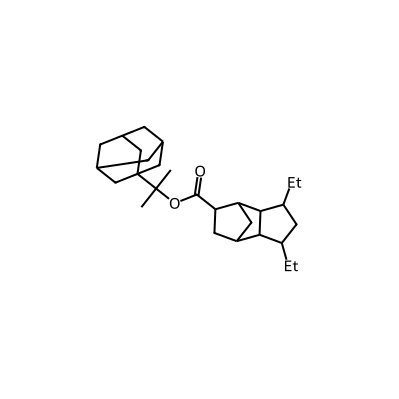 CCC1CC(CC)C2C3CC(CC3C(=O)OC(C)(C)C34CC5CC(CC(C5)C3)C4)C12